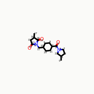 CC1CCN(C(=O)C2CCC(CN3C(=O)CC(C)C3=O)CC2)C1